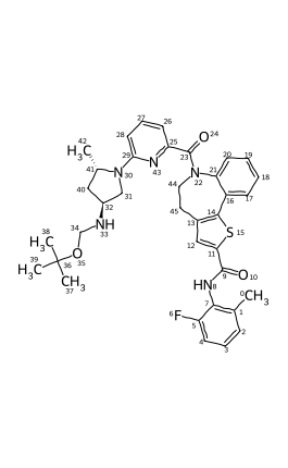 Cc1cccc(F)c1NC(=O)c1cc2c(s1)-c1ccccc1N(C(=O)c1cccc(N3C[C@@H](NCOC(C)(C)C)C[C@@H]3C)n1)CC2